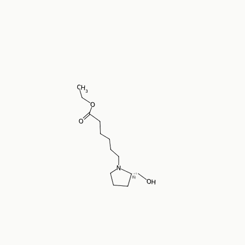 CCOC(=O)CCCCCN1CCC[C@H]1CO